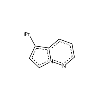 CC(C)c1ccn2ncccc12